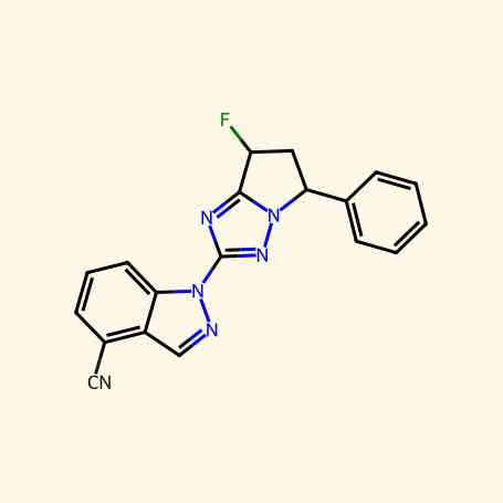 N#Cc1cccc2c1cnn2-c1nc2n(n1)C(c1ccccc1)CC2F